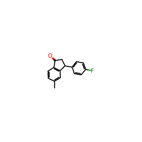 Cc1ccc2c(c1)C(c1ccc(F)cc1)CC2=O